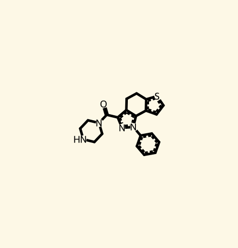 O=C(c1nn(-c2ccccc2)c2c1CCc1sccc1-2)N1CCNCC1